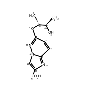 C[C@@H](O)[C@@H](C)Oc1ccc2nc(C(=O)O)cn2n1